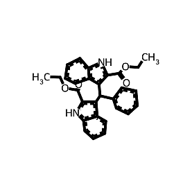 CCOC(=O)c1[nH]c2ccccc2c1C(c1ccccc1)c1c(C(=O)OCC)[nH]c2ccccc12